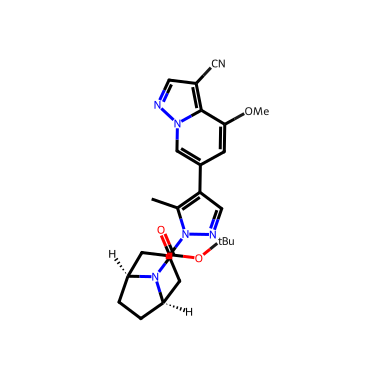 COc1cc(-c2cnn(C3C[C@H]4CC[C@@H](C3)N4C(=O)OC(C)(C)C)c2C)cn2ncc(C#N)c12